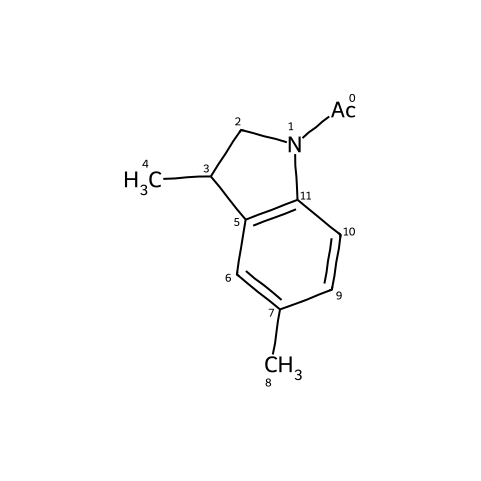 CC(=O)N1CC(C)c2cc(C)ccc21